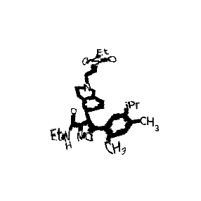 CCNC(=O)c1noc(-c2cc(C(C)C)c(C)cc2C)c1-c1ccc2c(c1)CCN(CCS(=O)(=O)CC)C2